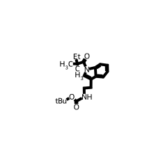 CCC(C)(C)C(=O)n1cc(CCNC(=O)OC(C)(C)C)c2ccccc21